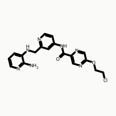 Nc1ncccc1NCc1cc(NC(=O)c2cnc(OCCCl)cn2)ccn1